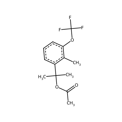 CC(=O)OC(C)(C)c1cccc(OC(F)(F)F)c1C